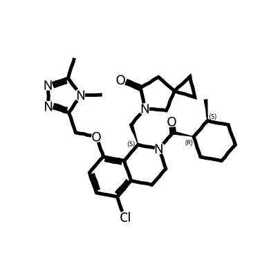 Cc1nnc(COc2ccc(Cl)c3c2[C@@H](CN2CC4(CC4)CC2=O)N(C(=O)[C@@H]2CCCC[C@@H]2C)CC3)n1C